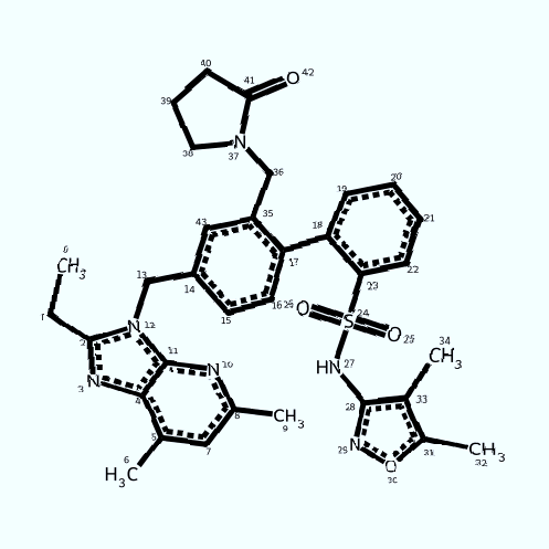 CCc1nc2c(C)cc(C)nc2n1Cc1ccc(-c2ccccc2S(=O)(=O)Nc2noc(C)c2C)c(CN2CCCC2=O)c1